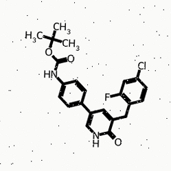 CC(C)(C)OC(=O)Nc1ccc(-c2c[nH]c(=O)c(Cc3ccc(Cl)cc3F)c2)cc1